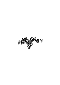 CN(CCO)C(=O)CN1C[C@]2(CC[C@@](c3ccc(F)cc3)(N(C)C)CC2)N(CC2CCC2)C1=O